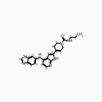 CCCNC(=O)N1CC=C(c2cc3c(Nc4ccc5ncsc5c4)ccnc3[nH]2)CC1